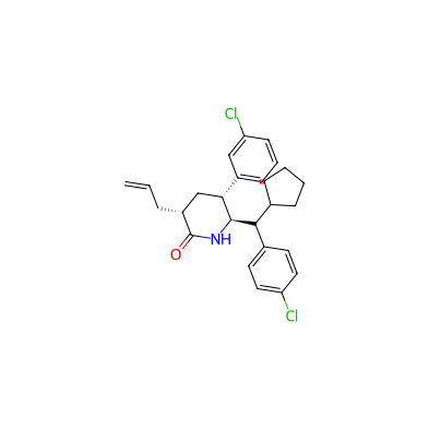 C=CC[C@@H]1C[C@H](c2cccc(Cl)c2)[C@@H](C(c2ccc(Cl)cc2)C2CCCC2)NC1=O